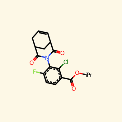 CC(C)OC(=O)c1ccc(F)c(N2C(=O)C3C=CCC(C3)C2=O)c1Cl